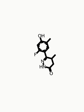 Cc1cc(C2=NNC(=O)CC2C)c(F)cc1O